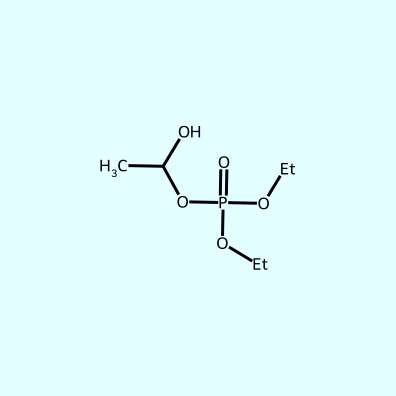 CCOP(=O)(OCC)OC(C)O